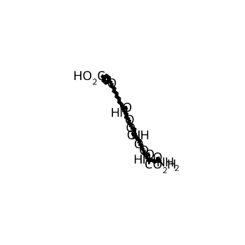 NC(=O)CC[C@H](NC(=O)COCCOCCNC(=O)COCCOCCNC(=O)CCCCCCCCCOc1ccc(C(=O)O)cc1)C(=O)O